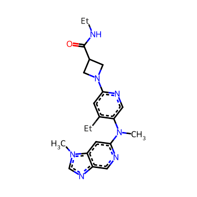 CCNC(=O)C1CN(c2cc(CC)c(N(C)c3cc4c(cn3)ncn4C)cn2)C1